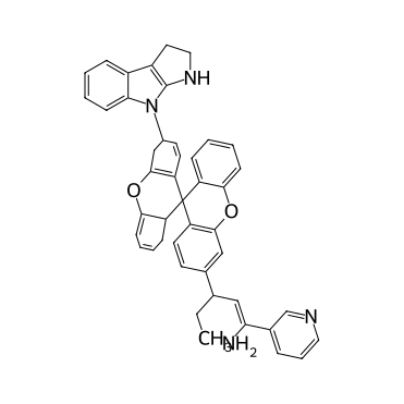 CCC(/C=C(\N)c1cccnc1)c1ccc2c(c1)Oc1ccccc1C21C2=C(CC(n3c4c(c5ccccc53)CCN4)C=C2)OC2=CC=CCC21